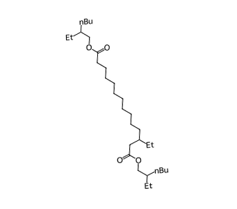 CCCCC(CC)COC(=O)CCCCCCCCCCC(CC)CC(=O)OCC(CC)CCCC